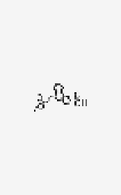 CCOC(=O)CCc1cc2ccc(C(=O)O)cc2c2ccccc12